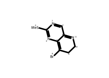 CSc1ncc2c(n1)=C(Br)CCN=2